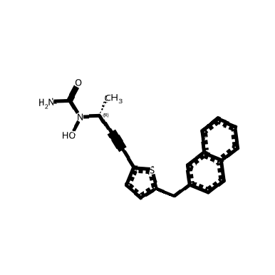 C[C@H](C#Cc1ccc(Cc2ccc3ccccc3c2)s1)N(O)C(N)=O